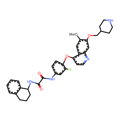 COc1cc2c(Oc3ccc(NC(=O)C(=O)NC4CCCc5ccccc54)cc3F)ccnc2cc1OCC1CCNCC1